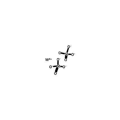 [O]=[Sb]([O-])([O-])[O-].[O]=[Sb]([O-])([O-])[O-].[W+6]